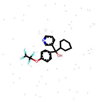 OC(c1ccc(OC(F)(F)C(F)F)cc1)(c1cccnc1)C1CCCCC1